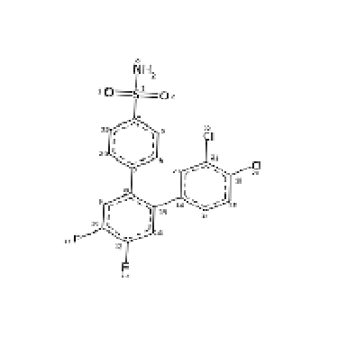 NS(=O)(=O)c1ccc(-c2cc(F)c(F)cc2-c2ccc(Cl)c(Cl)c2)cc1